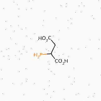 O=C(O)CC(P)C(=O)O